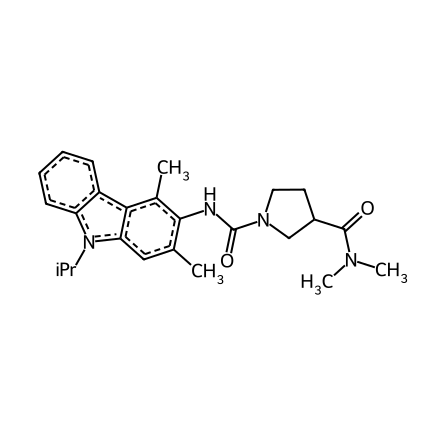 Cc1cc2c(c(C)c1NC(=O)N1CCC(C(=O)N(C)C)C1)c1ccccc1n2C(C)C